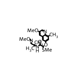 CON=CC(C)(C)NC(=O)C(Oc1cc(C)c2ncc(OC)cc2c1)SC